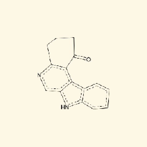 O=C1CCCc2ncc3[nH]c4ccccc4c3c21